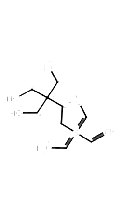 C=CS(=CC)(=CC)CCC(CO)(CO)CO